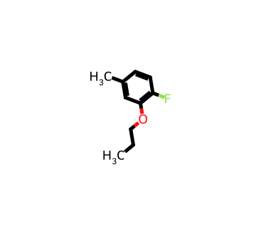 CCCOc1cc(C)ccc1F